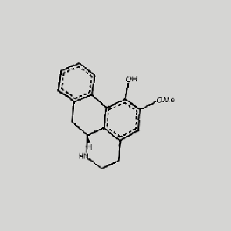 COc1cc2c3c(c1O)-c1ccccc1C[C@H]3NCC2